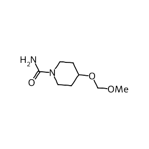 COCOC1CCN(C(N)=O)CC1